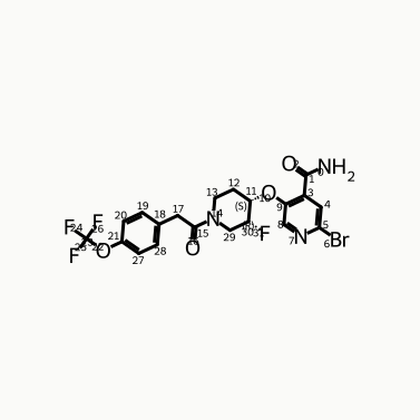 NC(=O)c1cc(Br)ncc1O[C@H]1CCN(C(=O)Cc2ccc(OC(F)(F)F)cc2)C[C@H]1F